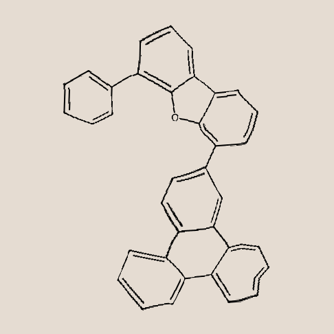 c1ccc(-c2cccc3c2oc2c(-c4ccc5c6ccccc6c6ccccc6c5c4)cccc23)cc1